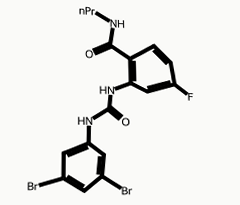 CCCNC(=O)c1ccc(F)cc1NC(=O)Nc1cc(Br)cc(Br)c1